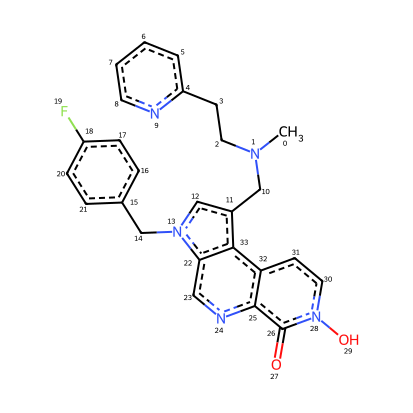 CN(CCc1ccccn1)Cc1cn(Cc2ccc(F)cc2)c2cnc3c(=O)n(O)ccc3c12